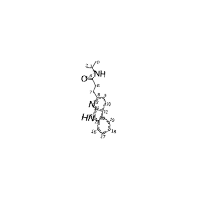 CC(C)NC(=O)CCc1ccc2c(n1)[nH]c1ccccc12